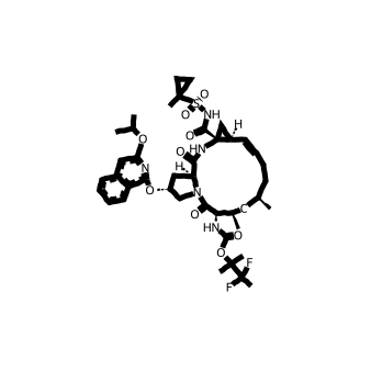 CC(C)Oc1cc2ccccc2c(O[C@@H]2C[C@H]3C(=O)N[C@]4(C(=O)NS(=O)(=O)C5(C)CC5)C[C@H]4/C=C\CC[C@@H](C)C[C@@H](C)[C@H](NC(=O)OC(C)(C)C(C)(F)F)C(=O)N3C2)n1